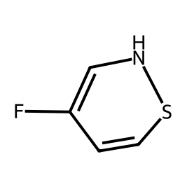 FC1=CNSC=C1